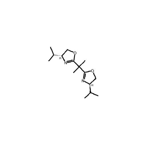 CC(C)[C@@H]1COC(C(C)(C)C2=N[C@H](C(C)C)CO2)=N1